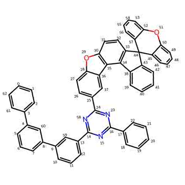 c1ccc(-c2cccc(-c3cccc(-c4nc(-c5ccccc5)nc(-c5ccc6oc7ccc8c(c7c6c5)-c5ccccc5C85c6ccccc6Oc6ccccc65)n4)c3)c2)cc1